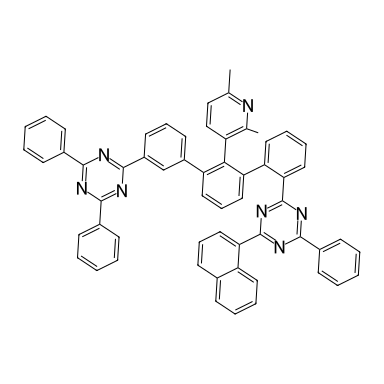 Cc1ccc(-c2c(-c3cccc(-c4nc(-c5ccccc5)nc(-c5ccccc5)n4)c3)cccc2-c2ccccc2-c2nc(-c3ccccc3)nc(-c3cccc4ccccc34)n2)c(C)n1